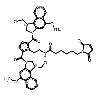 O=C(CCCCCN1C(=O)C=CC1=O)NCCn1c(C(=O)N2C[C@@H](CCl)c3c2cc(OP)c2ccccc32)ccc1C(=O)N1C[C@@H](CCl)c2c1cc(OP)c1ccccc21